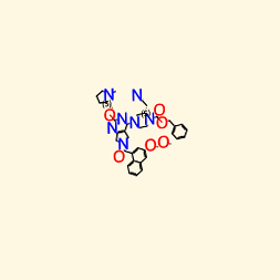 COCOc1cc(C(=O)N2Cc3nc(OC[C@@H]4CCCN4C)nc(N4CCN(C(=O)OCc5ccccc5)[C@@H](CC#N)C4)c3C2)c2ccccc2c1